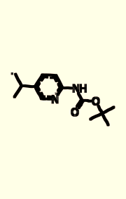 [CH2]C(C)c1ccc(NC(=O)OC(C)(C)C)nc1